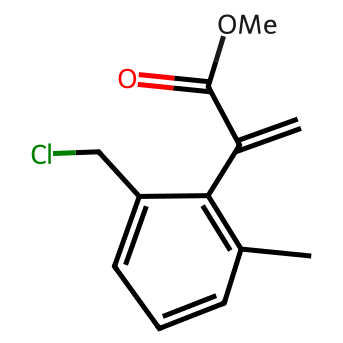 C=C(C(=O)OC)c1c(C)cccc1CCl